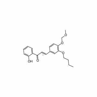 CCCCOc1cc(/C=C/C(=O)c2ccccc2O)ccc1OCOC